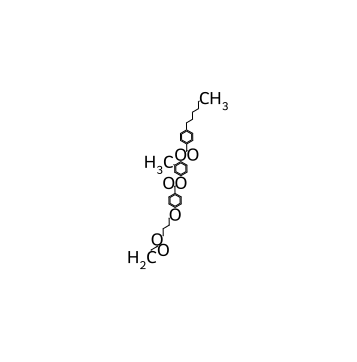 C=CC(=O)OCCCCOc1ccc(C(=O)Oc2ccc(OC(=O)c3ccc(CCCCCC)cc3)c(C)c2)cc1